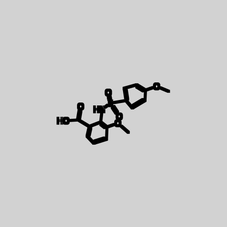 COc1ccc(S(=O)(=O)Nc2c(OC)cccc2C(=O)O)cc1